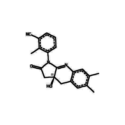 Cc1cc2c(cc1C)N=C1N(c3cccc(C#N)c3C)C(=O)C[C@@]1(O)C2